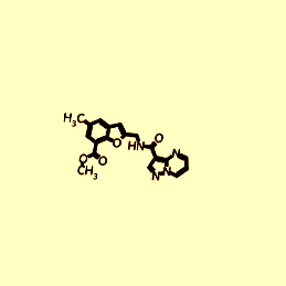 COC(=O)c1cc(C)cc2cc(CNC(=O)c3cnn4cccnc34)oc12